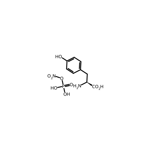 N[C@@H](Cc1ccc(O)cc1)C(=O)O.O=[N+]([O-])OP(=O)(O)O